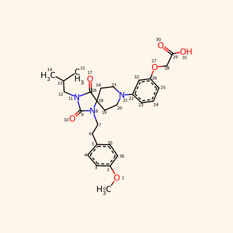 COc1ccc(CCN2C(=O)N(CC(C)C)C(=O)C23CCN(c2cccc(OCC(=O)O)c2)CC3)cc1